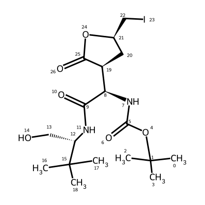 CC(C)(C)OC(=O)N[C@@H](C(=O)N[C@@H](CO)C(C)(C)C)[C@@H]1C[C@H](CI)OC1=O